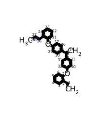 C=Cc1ccccc1Oc1ccc(C(=C)c2ccc(Oc3ccccc3/C=C/C)cc2)cc1